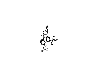 C=CCN1C[C@H](C)N([C@@](C)(c2ccc(C(=O)N(CC)CC)cc2)c2cccc(OCC(=O)O)c2)C[C@H]1C